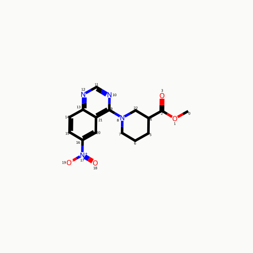 COC(=O)C1CCCN(c2ncnc3ccc([N+](=O)[O-])cc23)C1